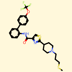 CSCCCN1CCC(c2nc(C(=O)Nc3ccccc3-c3ccc(OC(F)(F)F)cc3)cs2)CC1